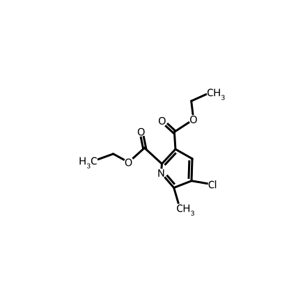 CCOC(=O)c1cc(Cl)c(C)nc1C(=O)OCC